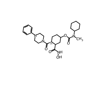 CN(C(=O)OC1CC[C@H](C(=O)N2CCN(c3ccccc3)CC2)C(C(=O)NO)C1)C1CCCCC1